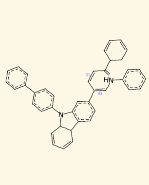 C=C(/C=C\C(=C/Nc1ccccc1)c1ccc2c(c1)N(c1ccc(-c3ccccc3)cc1)C1C=CC=CC21)C1C=CC=CC1